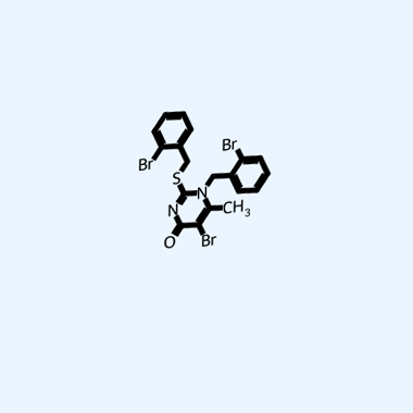 Cc1c(Br)c(=O)nc(SCc2ccccc2Br)n1Cc1ccccc1Br